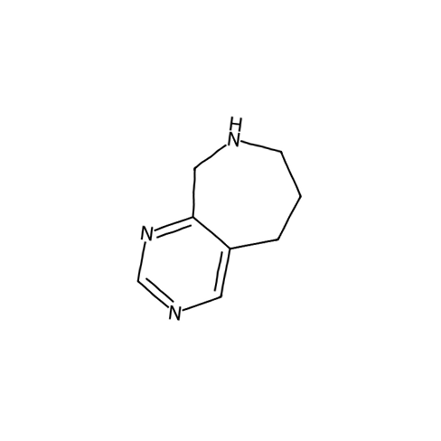 c1ncc2c(n1)CNCCC2